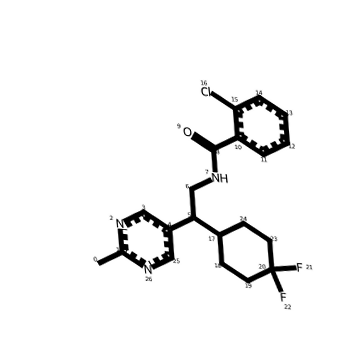 Cc1ncc(C(CNC(=O)c2ccccc2Cl)C2CCC(F)(F)CC2)cn1